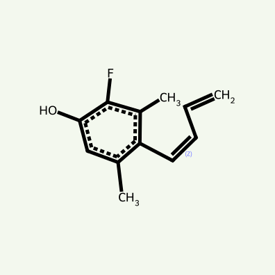 C=C/C=C\c1c(C)cc(O)c(F)c1C